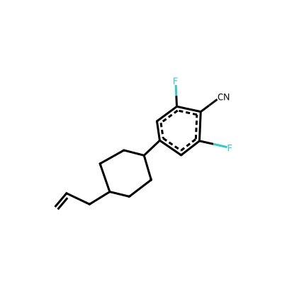 C=CCC1CCC(c2cc(F)c(C#N)c(F)c2)CC1